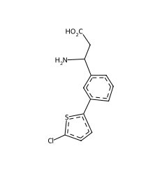 NC(CC(=O)O)c1cccc(-c2ccc(Cl)s2)c1